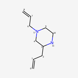 C=CCC1CN(CC=C)CC[N]1